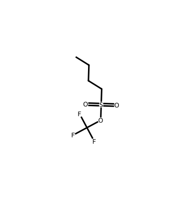 CCCCS(=O)(=O)OC(F)(F)F